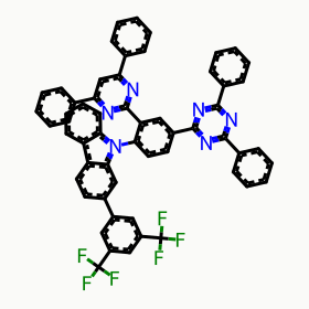 FC(F)(F)c1cc(-c2ccc3c4ccccc4n(-c4ccc(-c5nc(-c6ccccc6)nc(-c6ccccc6)n5)cc4-c4nc(-c5ccccc5)cc(-c5ccccc5)n4)c3c2)cc(C(F)(F)F)c1